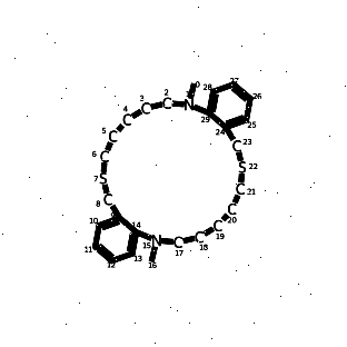 CN1CCCCCSCc2ccccc2N(C)CCCCCSCc2ccccc21